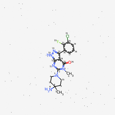 Cn1c(N2CCC(C)(N)CC2)nc2[nH]nc(-c3cccc(Cl)c3F)c2c1=O